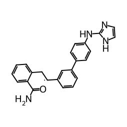 NC(=O)c1ccccc1C[CH]c1cccc(-c2ccc(Nc3ncc[nH]3)cc2)c1